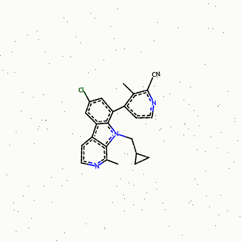 Cc1c(-c2cc(Cl)cc3c4ccnc(C)c4n(CC4CC4)c23)ccnc1C#N